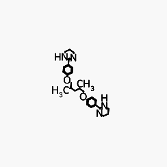 C[C@H](COc1ccc(C2=NCCCN2)cc1)C[C@@H](C)COc1ccc(C2=NCCCN2)cc1